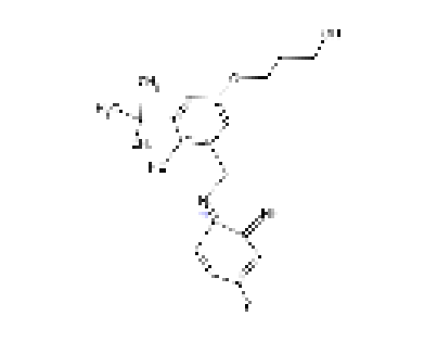 CC(C)(C)c1cc(OCCCO)cc(C/N=C2/C=CC(Cl)=CC2=N)c1O